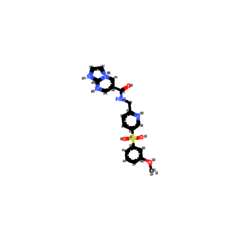 O=C(NCc1ccc(S(=O)(=O)c2cccc(OC(F)(F)F)c2)cn1)c1cnc2nccn2c1